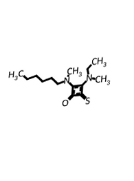 CCCCCCN(C)c1c(N(C)CC)c(=S)c1=O